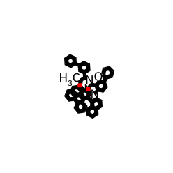 CC1=CC(c2cc3ccccc3c3ccccc23)=NC(c2c(-n3c4cc5ccccc5cc4c4c5ccccc5ccc43)ccc3c2oc2ccccc23)=NC1c1cccc(-c2ccccc2)c1